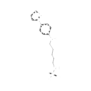 CC(C)(C)S(=O)(=O)NCCCCCNc1ccc(-n2cccn2)cc1